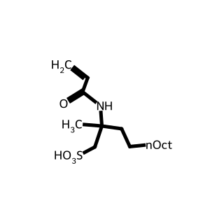 C=CC(=O)NC(C)(CCCCCCCCCC)CS(=O)(=O)O